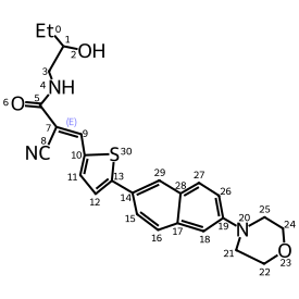 CCC(O)CNC(=O)/C(C#N)=C/c1ccc(-c2ccc3cc(N4CCOCC4)ccc3c2)s1